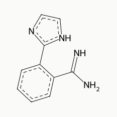 N=C(N)c1ccccc1-c1ncc[nH]1